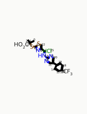 CC(C)(Sc1nc(CNc2ncc(-c3ccc(C(F)(F)F)cc3)cn2)cs1)C(=O)O.Cl